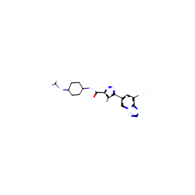 CCC(CC)NC1CCC(NC(=O)c2n[nH]c(-c3cc(C)c4ncnn4c3)c2C(C)C)CC1